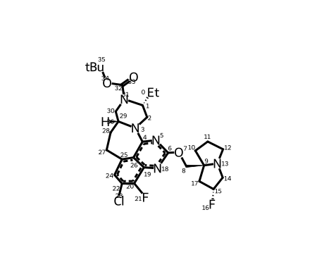 CC[C@@H]1CN2c3nc(OC[C@@]45CCCN4C[C@H](F)C5)nc4c(F)c(Cl)cc(c34)CC[C@@H]2CN1C(=O)OC(C)(C)C